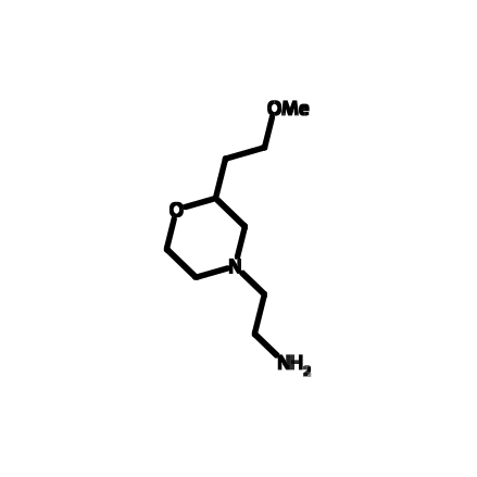 COCCC1CN(CCN)CCO1